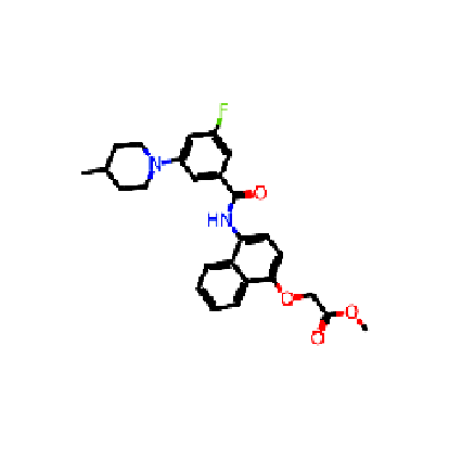 COC(=O)COc1ccc(NC(=O)c2cc(F)cc(N3CCC(C)CC3)c2)c2ccccc12